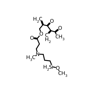 C=C(COC(=O)CCN(C)CCC[SiH2]OC)C(=O)C(=C)C(C)=O